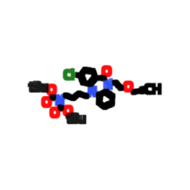 C#CCOCCN1C(=O)c2ccc(Cl)cc2N(CCCCN(C(=O)OC(C)(C)C)C(=O)OC(C)(C)C)c2ccccc21